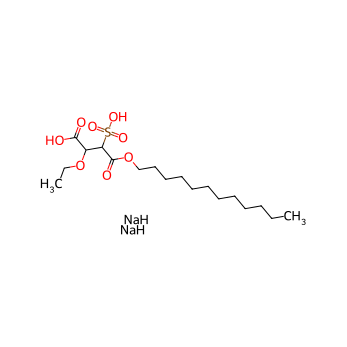 CCCCCCCCCCCCOC(=O)C(C(OCC)C(=O)O)S(=O)(=O)O.[NaH].[NaH]